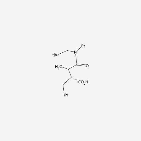 CCN(CC(C)(C)C)C(=O)C(C)[C@@H](CC(C)C)C(=O)O